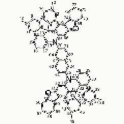 Cc1ccc(C2(c3ccc(C)cc3)c3ccccc3N(c3ccc4cc(N5c6ccccc6C(c6ccc(C)cc6)(c6ccc(C)cc6)c6cc7c(cc65)oc5ccccc57)ccc4c3)c3cc4oc5ccccc5c4cc32)cc1